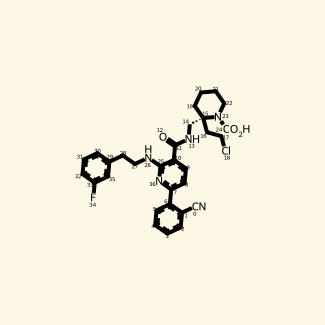 N#Cc1ccccc1-c1ccc(C(=O)NC[C@]2(CCCl)CCCCN2C(=O)O)c(NCCc2cccc(F)c2)n1